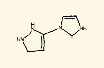 [C]1NC=CN1C1=CCNN1